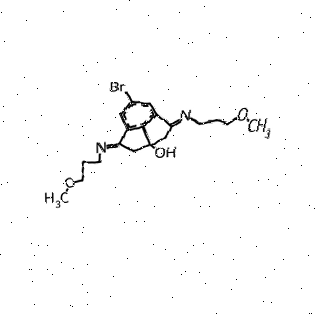 COCCCN=C1CC2(O)CC(=NCCCOC)c3cc(Br)cc1c32